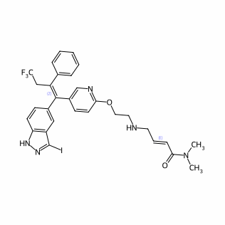 CN(C)C(=O)/C=C/CNCCOc1ccc(/C(=C(/CC(F)(F)F)c2ccccc2)c2ccc3[nH]nc(I)c3c2)cn1